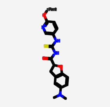 CCCCCOc1ccc(NC(=S)NC(=O)C2Cc3cc(N(C)C)ccc3O2)cn1